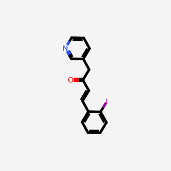 O=C(C=Cc1ccccc1I)Cc1cccnc1